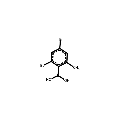 CCc1cc(Br)cc(C)c1B(O)O